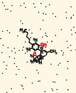 [2H]c1c(O)c2c(c([2H])c1CCCCC)OC(C([2H])([2H])[2H])(C([2H])([2H])[2H])[C@@H]1CCC(C)=C[C@@H]21